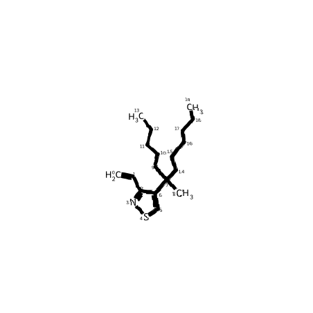 C=Cc1nscc1C(C)(CCCCC)CCCCCC